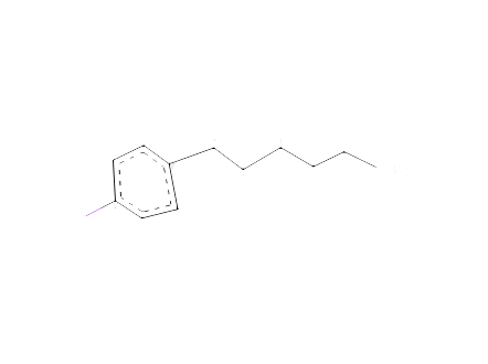 [CH2]CCCCCCCCCCCc1ccc(I)cc1